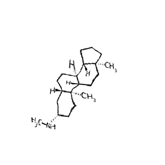 CN[C@H]1CC[C@@]2(C)[C@@H](CC[C@H]3[C@@H]4CCC[C@@]4(C)CC[C@@H]32)C1